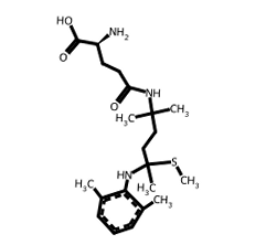 CSC(C)(CCC(C)(C)NC(=O)CC[C@H](N)C(=O)O)Nc1c(C)cccc1C